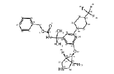 CC(C)(NC(=O)OCc1ccccc1)c1cc(O[C@H]2[C@@H]3CNC[C@@H]32)nc(N2CCC(C(F)(F)F)CC2)c1